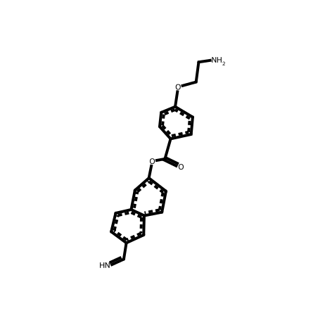 N=Cc1ccc2cc(OC(=O)c3ccc(OCCN)cc3)ccc2c1